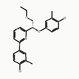 CCOC[C@H](Oc1ccc([O])c(C)c1)c1cccc(-c2ccc(Cl)c(C)c2)n1